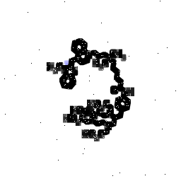 CN1/C(=C/c2cc[n+](CCC[N+](C)(C)CCCCCC(=O)Nc3ccc(CC(CN(CCN(CC(=O)O)CC(=O)O)CC(=O)O)N(CC(=O)O)CC(=O)O)cc3)c3ccccc23)Sc2ccccc21